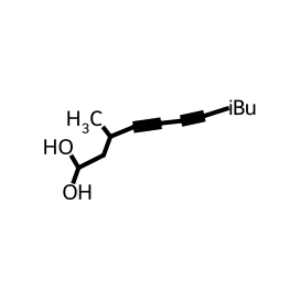 CCC(C)C#CC#CC(C)CC(O)O